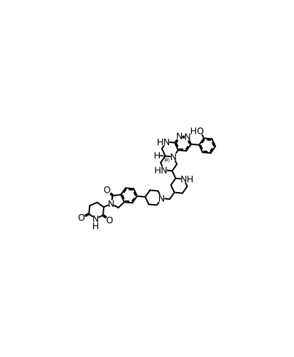 O=C1CCC(N2Cc3cc(C4CCN(CC5CCNC(C6CN7c8cc(-c9ccccc9O)nnc8NC[C@H]7CN6)C5)CC4)ccc3C2=O)C(=O)N1